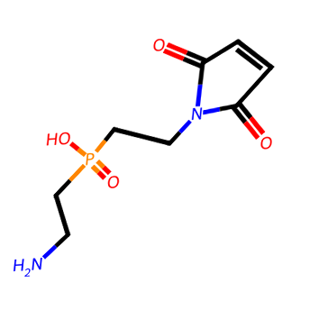 NCCP(=O)(O)CCN1C(=O)C=CC1=O